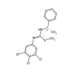 CSC(=Nc1cc(Cl)c(Cl)c(Cl)c1)N[C@@H](C)c1ccccc1